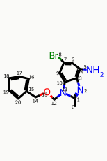 Cc1nc2c(N)cc(Br)cc2n1COCc1ccccc1